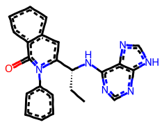 CC[C@@H](Nc1ncnc2[nH]cnc12)c1cc2ccccc2c(=O)n1-c1ccccc1